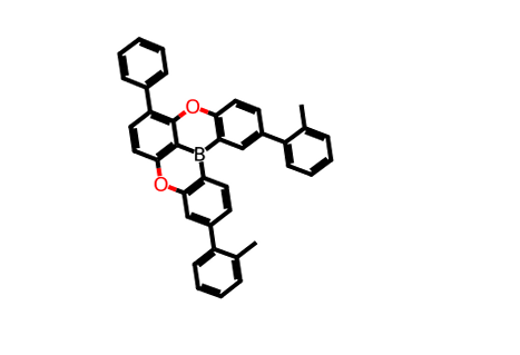 Cc1ccccc1-c1ccc2c(c1)Oc1ccc(-c3ccccc3)c3c1B2c1cc(-c2ccccc2C)ccc1O3